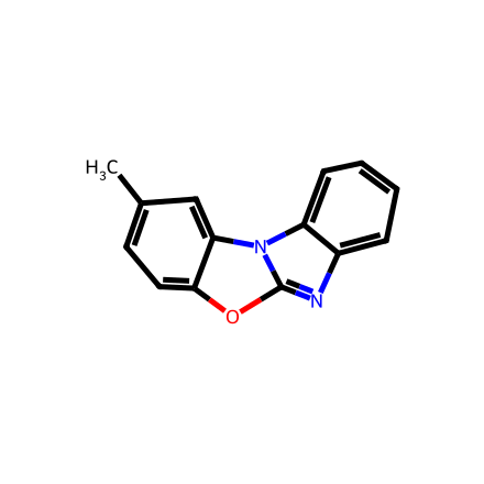 Cc1ccc2oc3nc4ccccc4n3c2c1